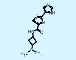 CN(C)C1CC(NC(=O)c2csc(-c3cnc[nH]3)n2)C1